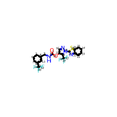 O=C(NCc1cccc(C(F)(F)F)c1)Oc1cnn(-c2nc3ccccc3s2)c1C(F)(F)F